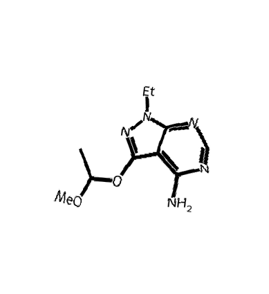 CCn1nc(OC(C)OC)c2c(N)ncnc21